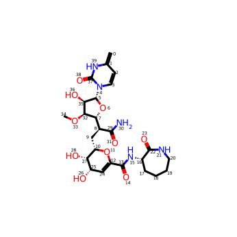 C=C1C=CN([C@@H]2O[C@H]([C@H](C[C@@H]3OC(C(=O)N[C@H]4CCCCNC4=O)=C[C@H](O)[C@@H]3O)C(N)=O)[C@@H](OC)[C@H]2O)C(=O)N1